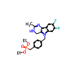 CCOP(=O)(Cc1ccc(Cn2c3c(c4cc(F)c(F)cc42)N=C(C)NC3)cc1)OCC